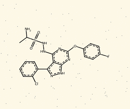 CC(N)S(=O)(=O)NNc1nc(Oc2ccc(F)cc2)nc2[nH]nc(-c3ccccc3Cl)c12